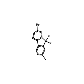 Cc1ccc2c(c1)C(F)(F)c1cc(Br)ccc1-2